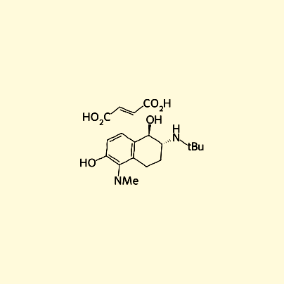 CNc1c(O)ccc2c1CC[C@@H](NC(C)(C)C)[C@@H]2O.O=C(O)/C=C/C(=O)O